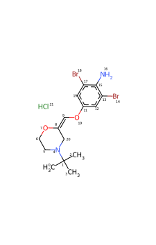 CC(C)(C)N1CCOC(=COc2cc(Br)c(N)c(Br)c2)C1.Cl